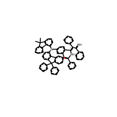 CC1(C)c2ccccc2-c2c(N(c3ccc4c(c3)C=C(c3ccccc3)N/C4=C(\C(=N)c3ccccc3)c3ccccc3)c3cccc4c3-c3ccccc3C4(c3ccccc3)c3ccccc3)cccc21